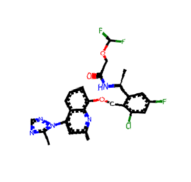 Cc1cc(-n2ncnc2C)c2cccc(OCc3c(Cl)cc(F)cc3[C@H](C)NC(=O)COC(F)F)c2n1